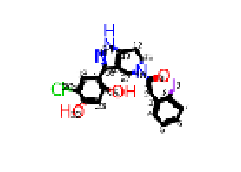 O=C(Cc1ccccc1I)N1CCc2[nH]nc(-c3cc(Cl)c(O)cc3O)c2C1